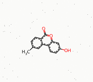 Cc1ccc2c(=O)oc3cc(O)ccc3c2c1